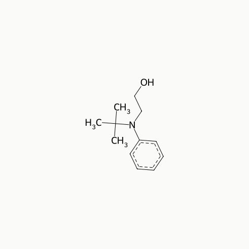 CC(C)(C)N(CCO)c1ccccc1